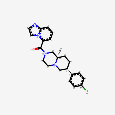 O=C(c1cccc2nccn12)N1CCN2C[C@@H](c3ccc(Cl)cc3)CC[C@@H]2C1